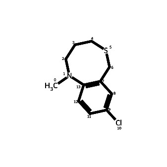 CN1CCCSCc2cc(Cl)ccc21